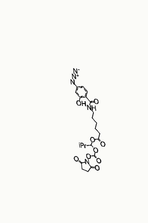 CC(C)C(OC(=O)CCCCCNC(=O)c1ccc(N=[N+]=[N-])cc1O)OC(=O)ON1C(=O)CCC1=O